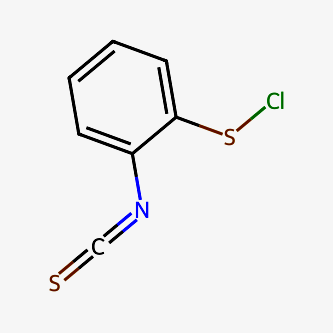 S=C=Nc1ccccc1SCl